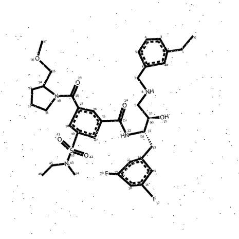 CCc1cccc(CNC[C@@H](O)[C@H](Cc2cc(F)cc(F)c2)NC(=O)c2cc(C(=O)N3CCCC3COC)cc(S(=O)(=O)N(C)CC)c2)c1